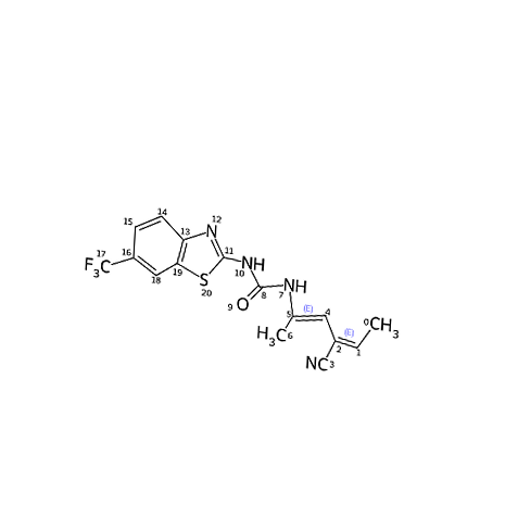 C/C=C(C#N)\C=C(/C)NC(=O)Nc1nc2ccc(C(F)(F)F)cc2s1